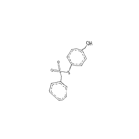 O=S(=O)(Sc1ccc(O)cc1)c1ccccc1